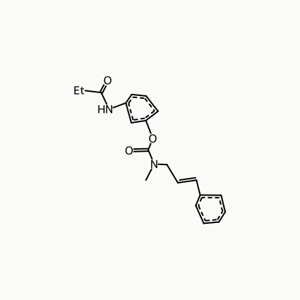 CCC(=O)Nc1cccc(OC(=O)N(C)CC=Cc2ccccc2)c1